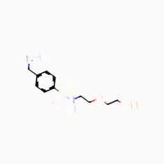 NCc1ccc(S(=O)(=O)NCCOCCO)cc1